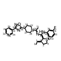 CC=C1CC[S+]([O-])/C1=C(/N=C(\C)N1CCC(c2nc(-c3cccnc3)no2)CC1)Nc1cccc(F)c1